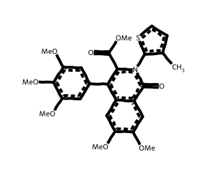 COC(=O)c1c(-c2cc(OC)c(OC)c(OC)c2)c2cc(OC)c(OC)cc2c(=O)n1-c1sccc1C